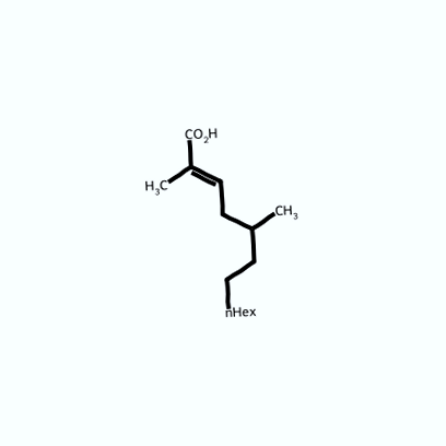 CCCCCCCCC(C)CC=C(C)C(=O)O